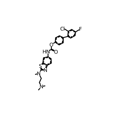 CN(C)CCN(C)c1nc2ccc(NC(=O)Oc3ccc(-c4ccc(F)cc4Cl)cc3)cc2s1